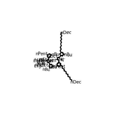 CCCCCCCCCCCCCCCCCCCCCc1cc(CCCC)cc(C2=C(CCCCC)C(CCCCCCCC)=C(c3cc(CCCC)cc(CCCCCCCCCCCCCCCCCCCCC)c3)[N+]2=[N-])c1.CCCCCc1cc(CCCC)cc(C2=CC(CCCC)=C(c3cc(CCCC)cc(CCCCC)c3)[N+]2=[N-])c1.CC[N](C)[Ni][N](C)CC.CC[N](CC)[Ni][N](CC)CC